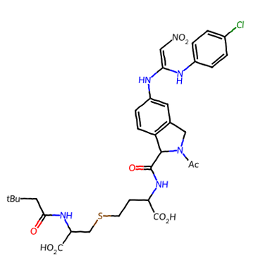 CC(=O)N1Cc2cc(NC(=C[N+](=O)[O-])Nc3ccc(Cl)cc3)ccc2C1C(=O)NC(CCSCC(NC(=O)CC(C)(C)C)C(=O)O)C(=O)O